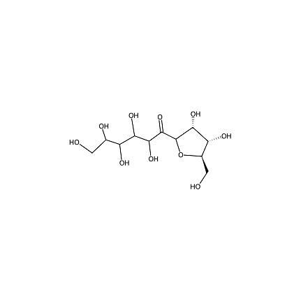 O=C(C(O)C(O)C(O)C(O)CO)C1O[C@H](CO)[C@@H](O)[C@H]1O